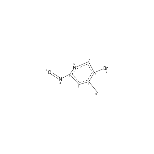 Cc1cc(N=O)ncc1Br